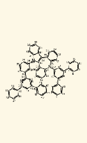 c1ccc(-c2cc(-c3ccccc3)cc(N3c4ccccc4-c4c(n(-c5cccc(-c6nc(-c7ccccc7)cc(-c7ccccc7)n6)c5)c5ccccc45)-c4ccccc43)c2)cc1